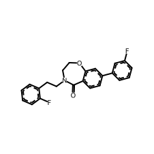 O=C1c2ccc(-c3cccc(F)c3)cc2OCCN1CCc1ccccc1F